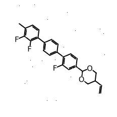 C=CC1COC(c2ccc(-c3ccc(-c4ccc(C)c(F)c4F)cc3)c(F)c2)OC1